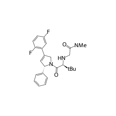 CNC(=O)CN[C@H](C(=O)N1CC(c2cc(F)ccc2F)=C[C@H]1c1ccccc1)C(C)(C)C